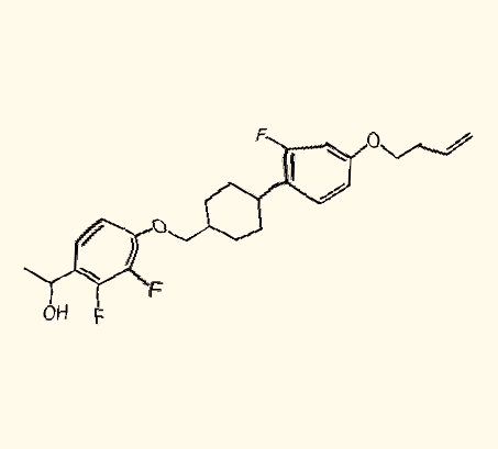 C=CCCOc1ccc(C2CCC(COc3ccc(C(C)O)c(F)c3F)CC2)c(F)c1